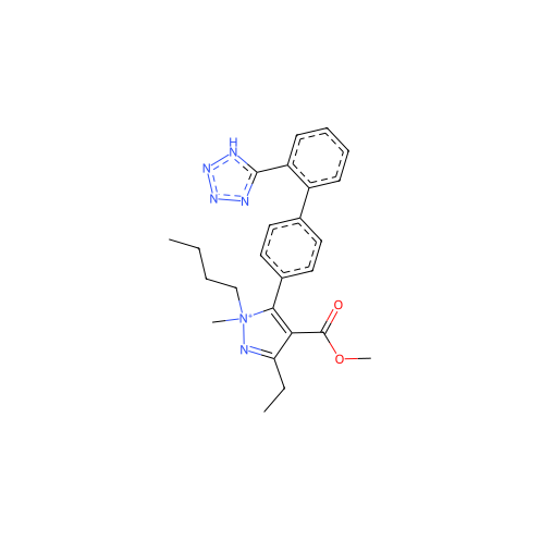 CCCC[N+]1(C)N=C(CC)C(C(=O)OC)=C1c1ccc(-c2ccccc2-c2nnn[nH]2)cc1